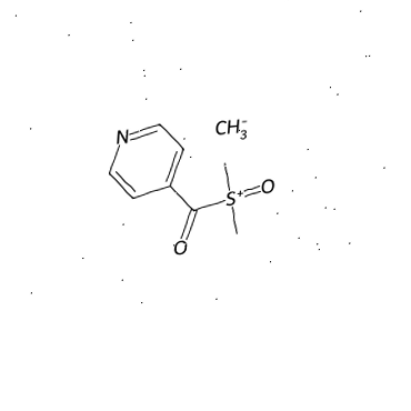 C[S+](C)(=O)C(=O)c1ccncc1.[CH3-]